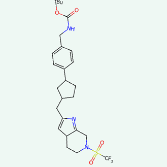 CC(C)(C)OC(=O)NCc1ccc(C2CCC(CC3=CC4CCN(S(=O)(=O)C(F)(F)F)CC4=N3)C2)cc1